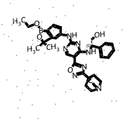 CCOB1OC(C)(C)c2cc(Nc3ncc(-c4nc(C56CCN(CC5)CC6)no4)c(N[C@H](CO)c4ccccc4)n3)ccc21